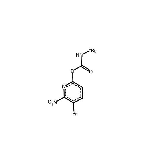 CC(C)(C)NC(=O)Oc1ccc(Br)c([N+](=O)[O-])n1